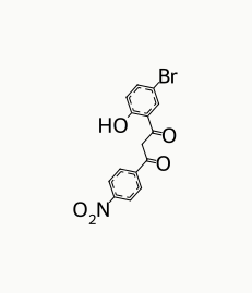 O=C(CC(=O)c1cc(Br)ccc1O)c1ccc([N+](=O)[O-])cc1